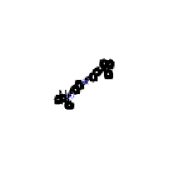 C(=C\c1ccc2cc(N(c3ccccc3)c3cccc4ccccc34)ccc2c1)/c1ccc2cc(/C=C/c3nc4ccccc4n3-c3ccccc3)ccc2c1